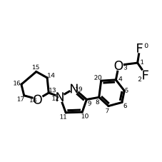 FC(F)Oc1cccc(-c2ccn(C3CCCCO3)n2)c1